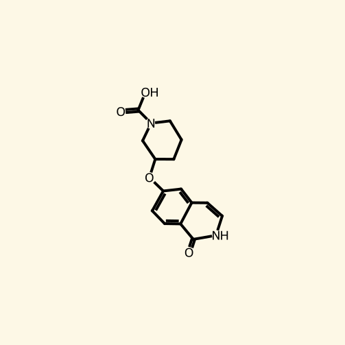 O=C(O)N1CCCC(Oc2ccc3c(=O)[nH]ccc3c2)C1